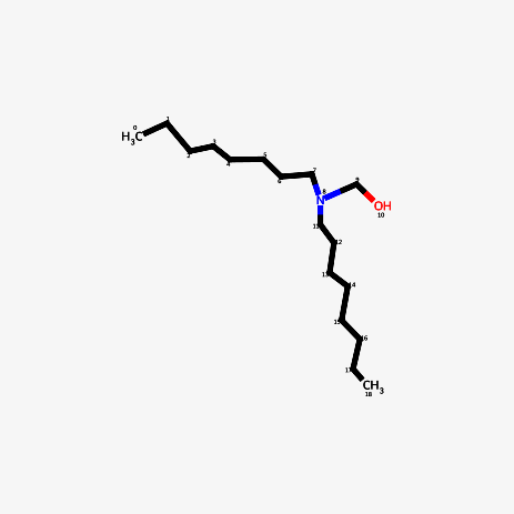 CCCCCCCCN(CO)CCCCCCCC